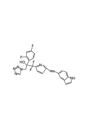 OC(Cn1cnnn1)(c1ccc(F)cc1F)C(F)(F)c1ccc(C#Cc2ccc3[nH]ccc3c2)cn1